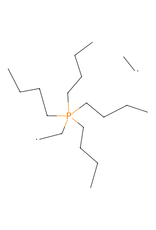 [CH2]C.[CH2]CP(CCCC)(CCCC)(CCCC)CCCC